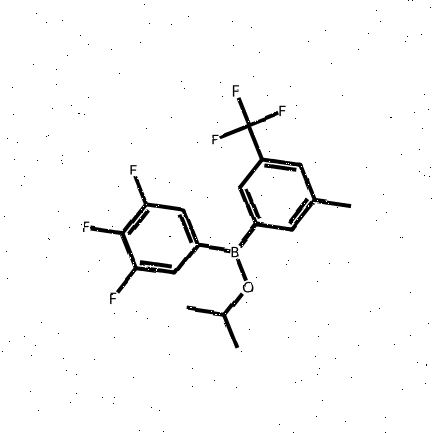 Cc1cc(B(OC(C)C)c2cc(F)c(F)c(F)c2)cc(C(F)(F)F)c1